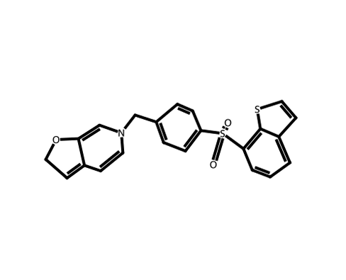 O=S(=O)(c1ccc(CN2C=CC3=CCOC3=C2)cc1)c1cccc2ccsc12